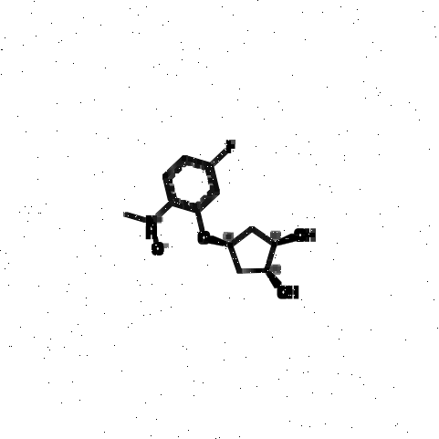 C[NH+]([O-])c1ccc(F)cc1O[C@H]1C[C@@H](O)[C@@H](O)C1